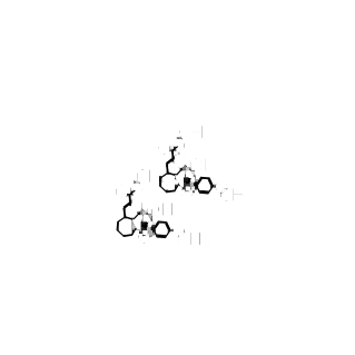 CCOC(=O)C=CC1CCCCN(S(=O)(=O)c2ccc(OC)cc2)C1C(=O)NO.CCOC(=O)C=CC1CCCCN(S(=O)(=O)c2ccc(OC)cc2)C1C(=O)NO